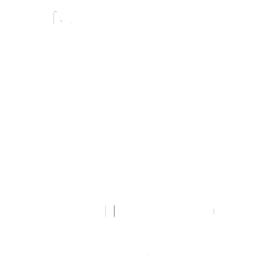 [2H]C1([2H])OCCC1CCCC(C)(C)C